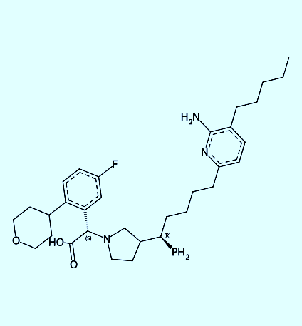 CCCCCc1ccc(CCCC[C@@H](P)C2CCN([C@H](C(=O)O)c3cc(F)ccc3C3CCOCC3)C2)nc1N